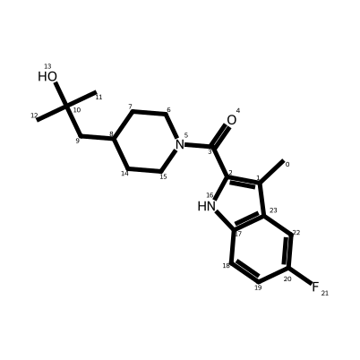 Cc1c(C(=O)N2CCC(CC(C)(C)O)CC2)[nH]c2ccc(F)cc12